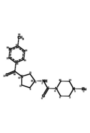 CCC(C)N1CCN(C(=O)N[C@@H]2CCN(C(=O)c3ccc(C)nc3)C2)CC1